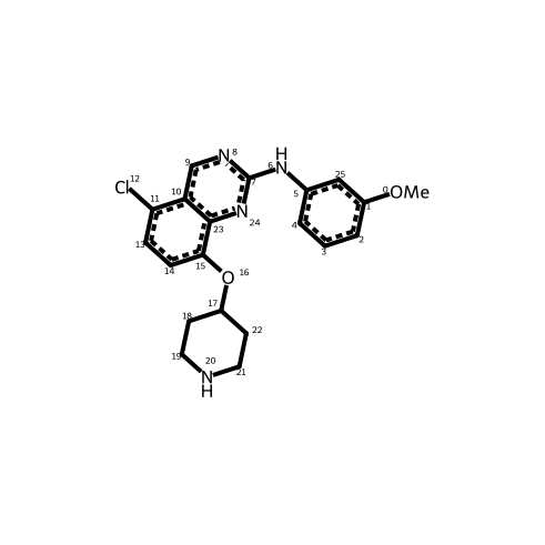 COc1cccc(Nc2ncc3c(Cl)ccc(OC4CCNCC4)c3n2)c1